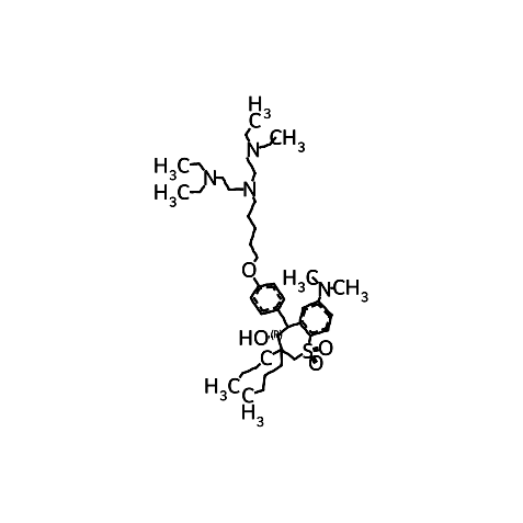 CCCCC1(CCCC)CS(=O)(=O)c2ccc(N(C)C)cc2C(c2ccc(OCCCCCN(CCN(CC)CC)CCN(CC)CC)cc2)[C@H]1O